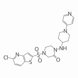 O=C1CN(S(=O)(=O)c2cc3nc(Cl)ccc3s2)CCN1NC1CCN(c2ccncc2)CC1